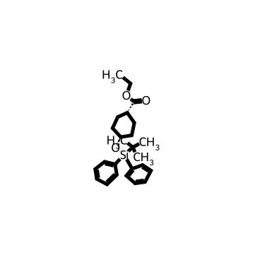 CCOC(=O)[C@H]1CC[C@@H](O[Si](c2ccccc2)(c2ccccc2)C(C)(C)C)CC1